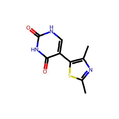 Cc1nc(C)c(-c2c[nH]c(=O)[nH]c2=O)s1